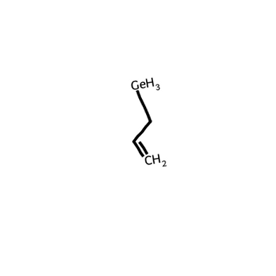 C=C[CH2][GeH3]